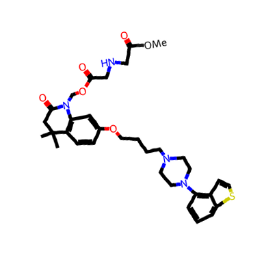 COC(=O)CNCC(=O)OCN1C(=O)CC(C)(C)c2ccc(OCCCCN3CCN(c4cccc5sccc45)CC3)cc21